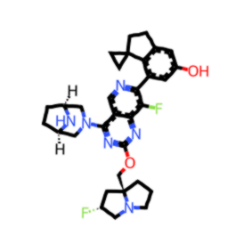 Oc1cc2c(c(-c3ncc4c(N5C[C@H]6CC[C@@H](C5)N6)nc(OC[C@@]56CCCN5C[C@H](F)C6)nc4c3F)c1)C1(CC2)CC1